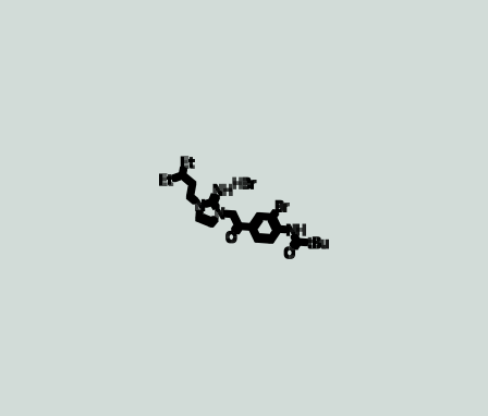 Br.CCC(CC)CCn1ccn(CC(=O)c2ccc(NC(=O)C(C)(C)C)c(Br)c2)c1=N